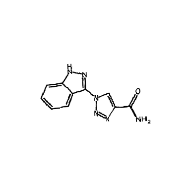 NC(=O)c1cn(-c2n[nH]c3ccccc23)nn1